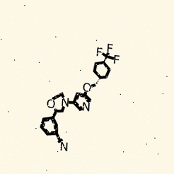 N#Cc1cccc(C2CN(c3cncc(OC[C@H]4CC[C@H](C(F)(F)F)CC4)c3)CCO2)c1